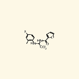 Cc1cc(F)ccc1NC(NC(=O)c1ccco1)C(Cl)(Cl)Cl